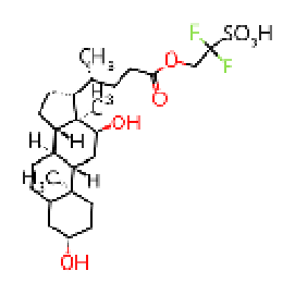 C[C@H](CCC(=O)OCC(F)(F)S(=O)(=O)O)[C@H]1CC[C@H]2[C@@H]3CCC4C[C@H](O)CC[C@]4(C)[C@H]3C[C@H](O)[C@]12C